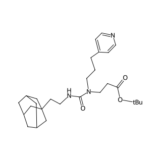 CC(C)(C)OC(=O)CCN(CCCc1ccncc1)C(=O)NCCC12CC3CC(CC(C3)C1)C2